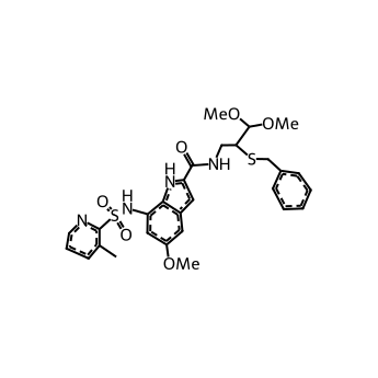 COc1cc(NS(=O)(=O)c2ncccc2C)c2[nH]c(C(=O)NCC(SCc3ccccc3)C(OC)OC)cc2c1